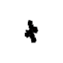 CC1c2ccccc2-c2c(-c3ccc(-c4ccccc4)cc3)cc(N(c3ccc(C4CC5CCC4C5)cc3)C34CC5CC(CC(C5)C3)C4)cc21